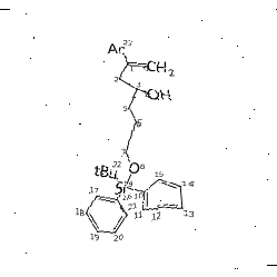 C=C(C[C@@H](O)CCCO[Si](c1ccccc1)(c1ccccc1)C(C)(C)C)C(C)=O